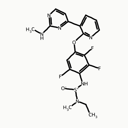 CCN(C)[S+]([O-])Nc1c(F)cc(Oc2ncccc2-c2ccnc(NC)n2)c(F)c1F